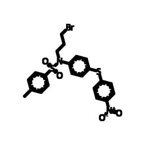 Cc1ccc(S(=O)(=O)N(CCCBr)c2ccc(Sc3ccc([N+](=O)[O-])cc3)cc2)cc1